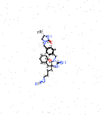 CCC[C@H]1CN(Cc2ccc(CN3C(=N)NC(CCCCN=[N+]=[N-])(CC4CCCCC4)C3=O)cc2)C(=O)N1